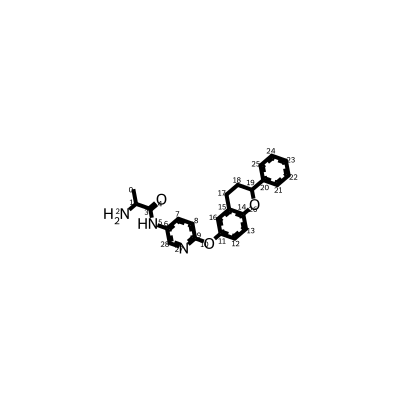 CC(N)C(=O)Nc1ccc(Oc2ccc3c(c2)CCC(c2ccccc2)O3)nc1